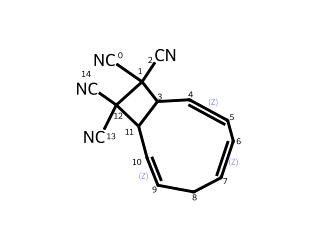 N#CC1(C#N)C2/C=C\C=C/C/C=C\C2C1(C#N)C#N